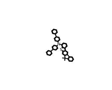 CC1(C)c2ccccc2-c2cc3c(cc21)sc1c(N(c2ccc(-c4ccccc4)cc2)c2ccc(-c4ccccc4)cc2)cccc13